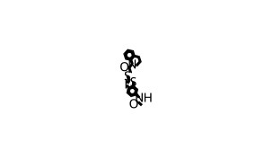 CC(=O)Nc1ccc2c(c1)SC(SCC(=O)N1CCCc3ccccc31)=I2